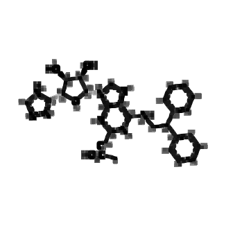 CC(=O)O.O[C@@H]1[C@H](O)[C@@H](c2nnc[nH]2)O[C@H]1n1cnc2c(NCC(c3ccccc3)c3ccccc3)nc(Cl)nc21